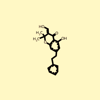 CC1(C)Oc2cc(CCc3ccccc3)cc(O)c2C(=O)/C1=C/O